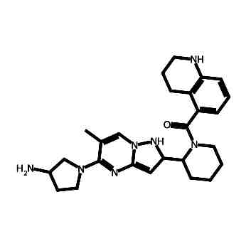 CC1=CN2NC(C3CCCCN3C(=O)c3cccc4c3CCCN4)C=C2N=C1N1CCC(N)C1